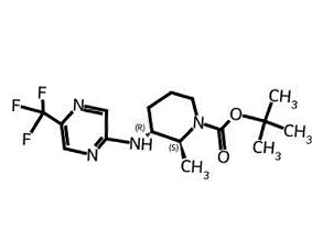 C[C@H]1[C@H](Nc2cnc(C(F)(F)F)cn2)CCCN1C(=O)OC(C)(C)C